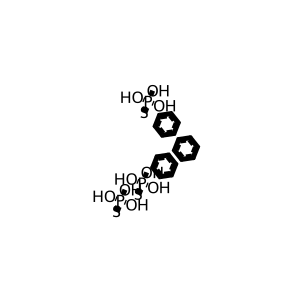 OP(O)(O)=S.OP(O)(O)=S.OP(O)(O)=S.c1ccccc1.c1ccccc1.c1ccccc1